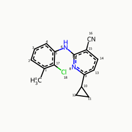 Cc1cccc(Nc2nc(C3CC3)ccc2C#N)c1Cl